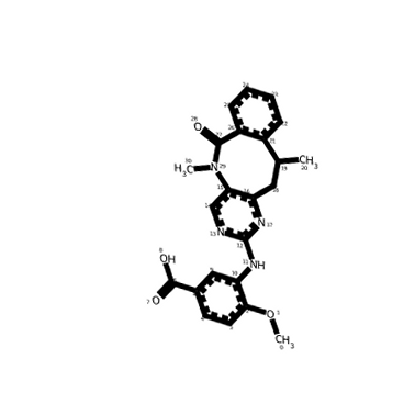 COc1ccc(C(=O)O)cc1Nc1ncc2c(n1)CC(C)c1ccccc1C(=O)N2C